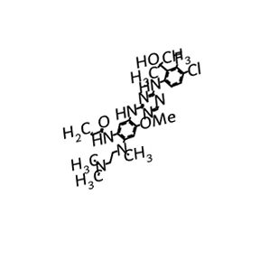 C=CC(=O)Nc1cc(Nc2ncnc(Nc3ccc(Cl)c(F)c3C(C)(C)O)n2)c(OC)cc1N(C)CCN(C)C